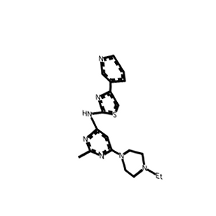 CCN1CCN(c2cc(Nc3nc(-c4cccnc4)cs3)nc(C)n2)CC1